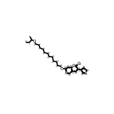 CCC(C)OCCCCCCCCCCCCOc1cc2oc(=O)c(-c3ccsc3)cc2cn1